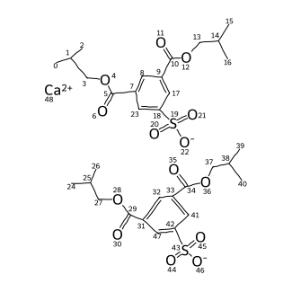 CC(C)COC(=O)c1cc(C(=O)OCC(C)C)cc(S(=O)(=O)[O-])c1.CC(C)COC(=O)c1cc(C(=O)OCC(C)C)cc(S(=O)(=O)[O-])c1.[Ca+2]